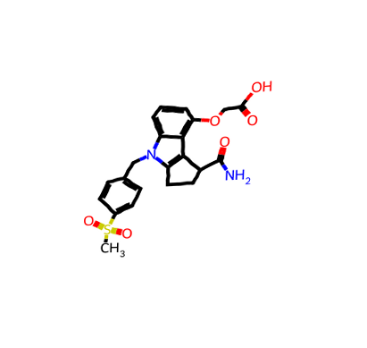 CS(=O)(=O)c1ccc(Cn2c3c(c4c(OCC(=O)O)cccc42)C(C(N)=O)CC3)cc1